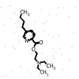 CCCCc1ccc(C(=O)OCCN(CC)CC)nc1